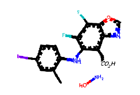 Cc1cc(I)ccc1Nc1c(F)c(F)c2ocnc2c1C(=O)O.NO